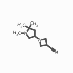 CN1CC(N2CC(C#N)C2)CC1(C)C